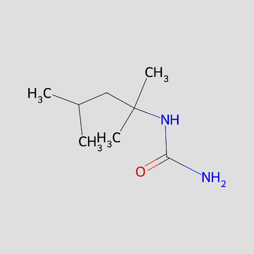 CC(C)CC(C)(C)NC(N)=O